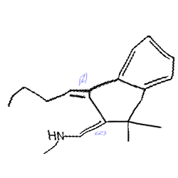 CCC/C=C1\C(=C/NC)C(C)(C)c2ccccc21